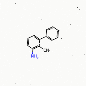 N#Cc1c(N)cccc1-c1ccccc1